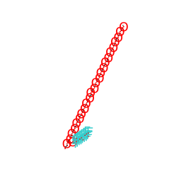 CCCOC(COCCOCCOCCOCCOCCOCCOCCOCCOCCOCCOCCOCCOCCOCCOCCOCCOCCOCCOCCOCCOCCOCCOC)COCC(F)(F)C(F)(F)C(F)(F)C(F)(F)C(F)(F)C(F)(F)C(F)(F)C(F)(F)F